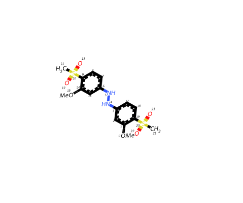 COc1cc(NNc2ccc(S(C)(=O)=O)c(OC)c2)ccc1S(C)(=O)=O